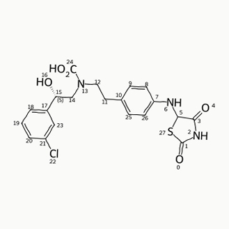 O=C1NC(=O)C(Nc2ccc(CCN(C[C@@H](O)c3cccc(Cl)c3)C(=O)O)cc2)S1